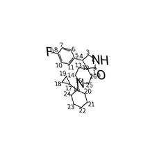 O=C1NCC(c2ccc(F)cc2)C12CCN(C1(C3CC3)CCCCC1)CC2